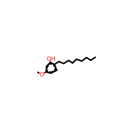 CCCCCCCCCc1ccc(OC)cc1O